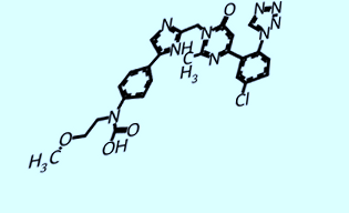 COCCN(C(=O)O)c1ccc(-c2cnc(Cn3c(C)nc(-c4cc(Cl)ccc4-n4cnnn4)cc3=O)[nH]2)cc1